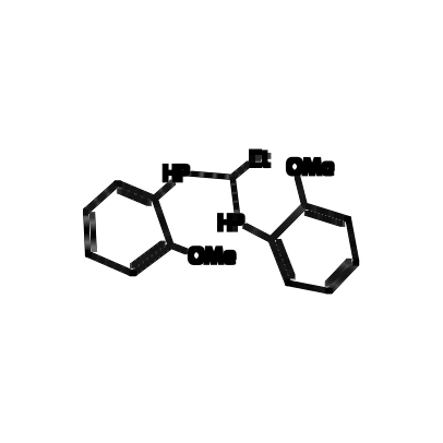 CCC(Pc1ccccc1OC)Pc1ccccc1OC